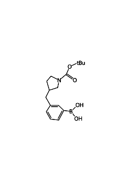 CC(C)(C)OC(=O)N1CCC(Cc2cccc(B(O)O)c2)C1